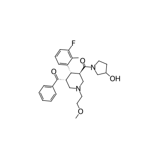 COCCN1C[C@H](C(=O)c2ccccc2)[C@H](c2cccc(F)c2C)[C@@H](C(=O)N2CCC(O)C2)C1